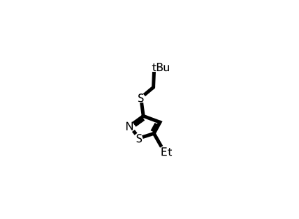 CCc1cc(SCC(C)(C)C)ns1